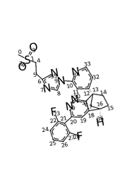 CS(=O)(=O)CCc1ncn(-c2cc([C@]34CC[C@H](C3)c3cc(-c5c(F)cccc5F)nnc34)ccn2)n1